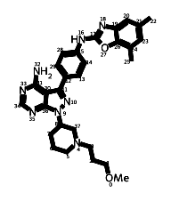 COCCCN1CCCC(n2nc(-c3ccc(Nc4nc5cc(C)cc(C)c5o4)cc3)c3c(N)ncnc32)C1